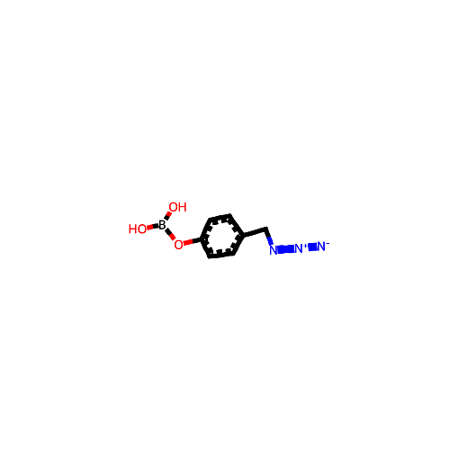 [N-]=[N+]=NCc1ccc(OB(O)O)cc1